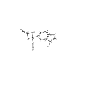 Cn1ncc2ccc(C3(C#N)CC(=O)C3)cc21